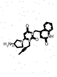 CC#CCn1c(N2CC[C@@H](N)C2)cc(=O)n(Cc2cc(=O)[nH]c3ccccc23)c1=O